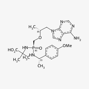 COc1ccc([C@H](C)N[P@](=O)(CO[C@H](C)Cn2cnc3c(N)ncnc32)NC(C)(C)C(=O)O)cc1